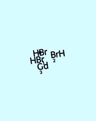 Br.Br.Br.[Gd]